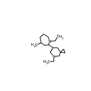 CCN1CC(C2CC(C)CCCN2CC)CC2(CC2)C1